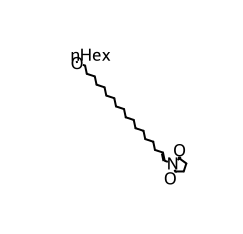 CCCCCCOCCCCCCCCCCCCCCCCC=CN1C(=O)CCC1=O